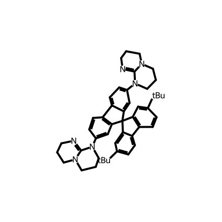 CC(C)(C)c1ccc2c(c1)C1(c3cc(N4CCCN5CCCN=C54)ccc3-c3ccc(N4CCCN5CCCN=C54)cc31)c1cc(C(C)(C)C)ccc1-2